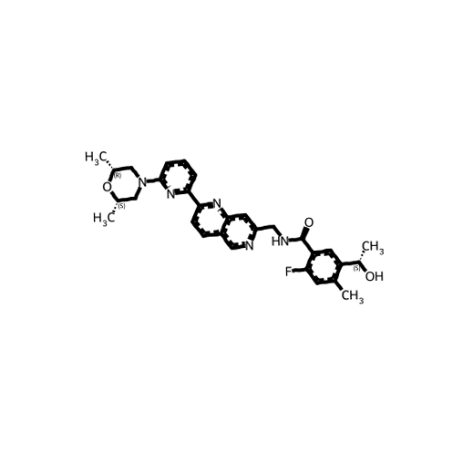 Cc1cc(F)c(C(=O)NCc2cc3nc(-c4cccc(N5C[C@@H](C)O[C@@H](C)C5)n4)ccc3cn2)cc1[C@H](C)O